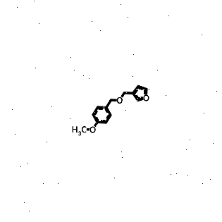 COc1ccc(COCc2c[c]oc2)cc1